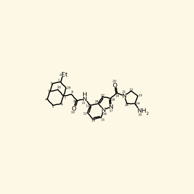 CCC1CC2CCCC(CC(=O)Nc3cccn4nc(C(=O)N5CCC(N)C5)cc34)(C1)C2